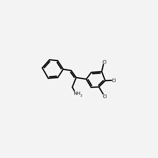 NCC(=Cc1ccccc1)c1cc(Cl)c(Cl)c(Cl)c1